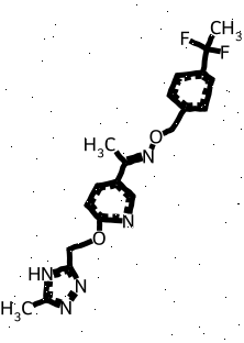 C/C(=N\OCc1ccc(C(C)(F)F)cc1)c1ccc(OCc2nnc(C)[nH]2)nc1